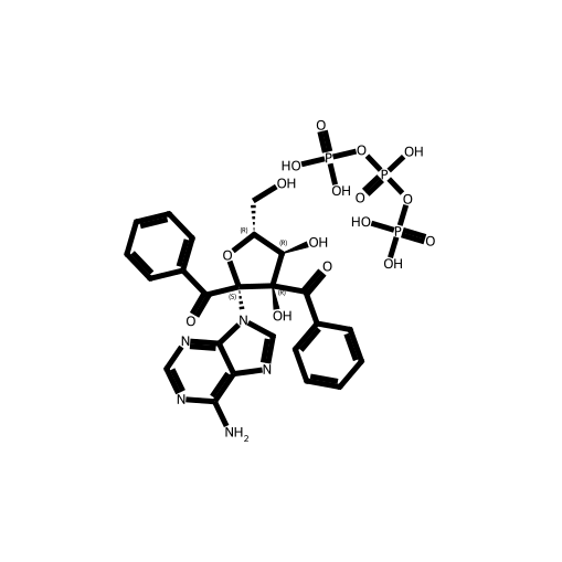 Nc1ncnc2c1ncn2[C@]1(C(=O)c2ccccc2)O[C@H](CO)[C@@H](O)[C@]1(O)C(=O)c1ccccc1.O=P(O)(O)OP(=O)(O)OP(=O)(O)O